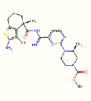 C[C@H]1CN(C(=O)OC(C)(C)C)CCN1c1nccc(C(=N)NC(=O)[C@@]2(C)CCCc3sc(N)c(C#N)c32)n1